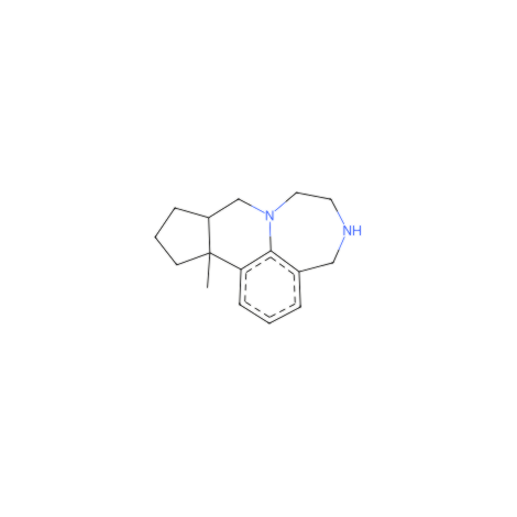 CC12CCCC1CN1CCNCc3cccc2c31